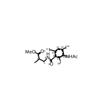 COC(=O)C(C)CNC(=O)c1c(I)cc(I)c(NC(C)=O)c1I